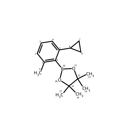 Cc1cccc(C2CC2)c1B1OC(C)(C)C(C)(C)O1